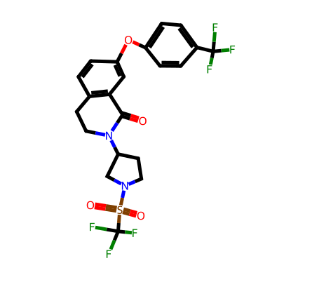 O=C1c2cc(Oc3ccc(C(F)(F)F)cc3)ccc2CCN1C1CCN(S(=O)(=O)C(F)(F)F)C1